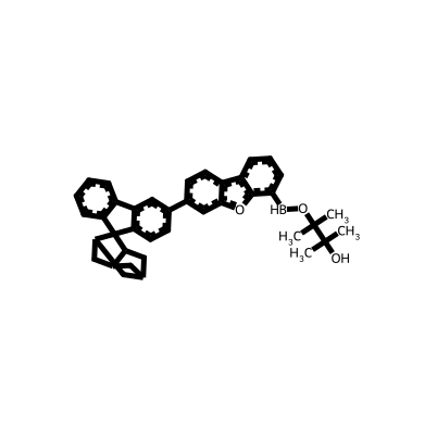 CC(C)(O)C(C)(C)OBc1cccc2c1oc1cc(-c3ccc4c(c3)-c3ccccc3C43C4CC5CC(C4)C3C5)ccc12